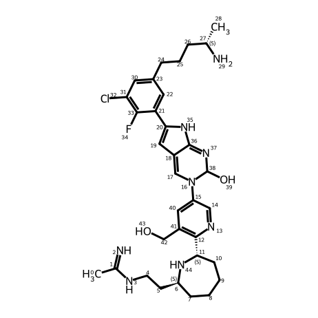 CC(=N)NCC[C@@H]1CCCC[C@@H](c2ncc(N3C=c4cc(-c5cc(CCC[C@H](C)N)cc(Cl)c5F)[nH]c4=NC3O)cc2CO)N1